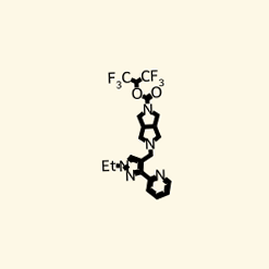 CCn1cc(CN2CC3CN(C(=O)OC(C(F)(F)F)C(F)(F)F)CC3C2)c(-c2ccccn2)n1